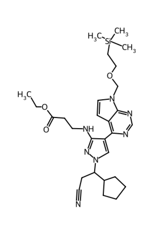 CCOC(=O)CCNc1nn(C(CC#N)C2CCCC2)cc1-c1ncnc2c1ccn2COCC[Si](C)(C)C